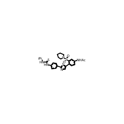 CC(=O)Nc1ccc(-c2cnc(-c3ccc(NC(=S)NC(C)C)cc3)s2)c(S(=O)(=O)N2CCCCC2)c1